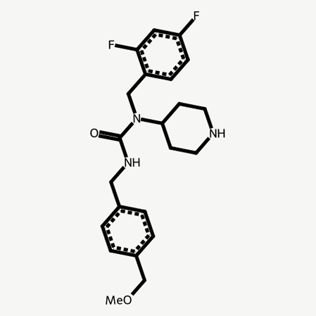 COCc1ccc(CNC(=O)N(Cc2ccc(F)cc2F)C2CCNCC2)cc1